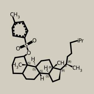 Cc1ccc(S(=O)(=O)OC2CCCC3CC[C@@H]4[C@H](CC[C@]5(C)[C@@H]([C@H](C)CCCC(C)C)CC[C@@H]45)[C@]32C)cc1